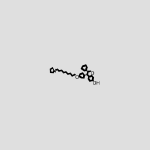 Oc1ccc2c(c1)OC[C@@H](c1ccccc1)[C@@H]2c1ccc(OCCCCCCCCCN2CCCC2)cc1